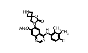 COc1cc2ncnc(Nc3ccc(Cl)c(C)c3C)c2cc1N1CC2(CNC2)OC1=O